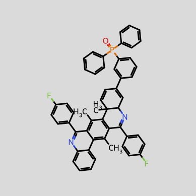 Cc1c2c(c(C)c3c1c(-c1ccc(F)cc1)nc1ccccc13)C(c1ccc(F)cc1)=NC1C=C(c3cccc(P(=O)(c4ccccc4)c4ccccc4)c3)C=CC21C